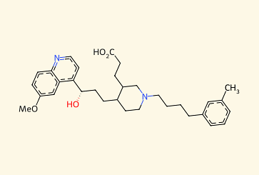 COc1ccc2nccc([C@@H](O)CCC3CCN(CCCCc4cccc(C)c4)CC3CCC(=O)O)c2c1